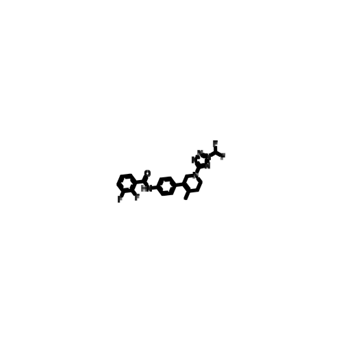 CC1=C(c2ccc(NC(=O)c3cccc(F)c3F)cc2)CN(c2nnn(C(F)F)n2)CC1